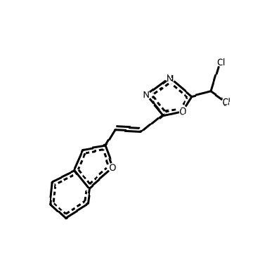 ClC(Cl)c1nnc(C=Cc2cc3ccccc3o2)o1